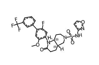 COc1cc(-c2cccc(C(F)(F)F)c2)c(F)cc1N1C(=O)CC[C@H]2CN(S(=O)(=O)Nc3ccon3)CC[C@@H]21